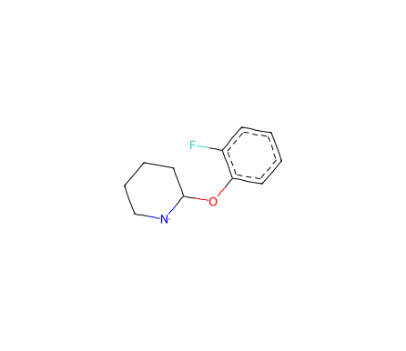 Fc1ccccc1OC1CCCC[N]1